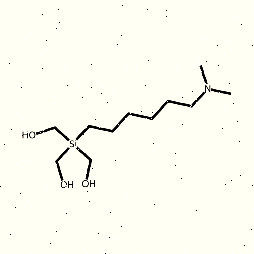 CN(C)CCCCCC[Si](CO)(CO)CO